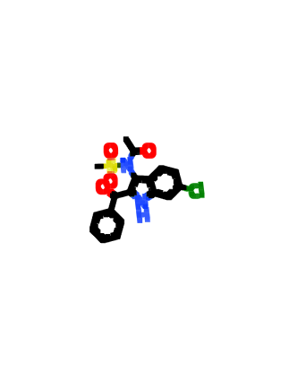 CC(=O)N(c1c(C(=O)c2ccccc2)[nH]c2cc(Cl)ccc12)S(C)(=O)=O